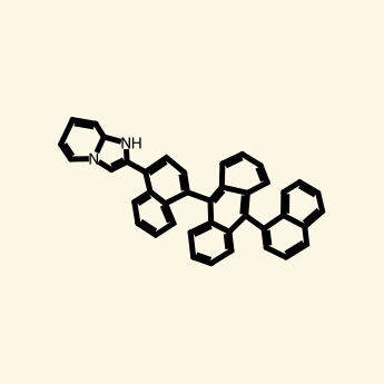 C1=CC2NC(c3ccc(-c4c5ccccc5c(-c5cccc6ccccc56)c5ccccc45)c4ccccc34)=CN2C=C1